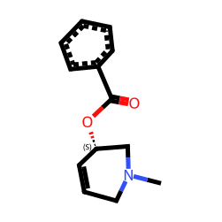 CN1CC=C[C@H](OC(=O)c2ccccc2)C1